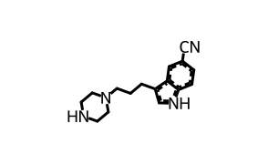 N#Cc1ccc2[nH]cc(CCCN3CCNCC3)c2c1